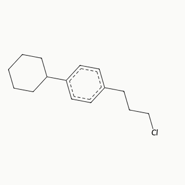 ClCCCc1ccc(C2CCCCC2)cc1